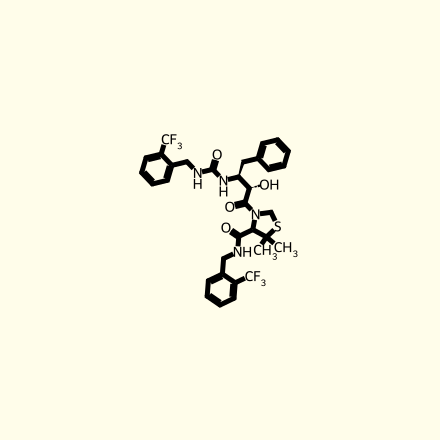 CC1(C)SCN(C(=O)[C@@H](O)[C@H](Cc2ccccc2)NC(=O)NCc2ccccc2C(F)(F)F)C1C(=O)NCc1ccccc1C(F)(F)F